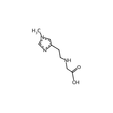 Cn1cnc(CCNCC(=O)O)c1